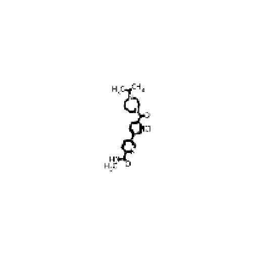 CNC(=O)c1ccc(-c2ccc(C(=O)N3CCCN(C(C)C)CC3)cc2)cn1.Cl